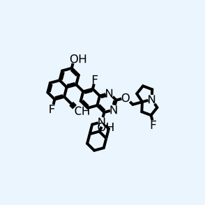 C#Cc1c(F)ccc2cc(O)cc(-c3ccc4c(N5CC6CCCC(C5)C6O)nc(OCC56CCCN5CC(F)C6)nc4c3F)c12